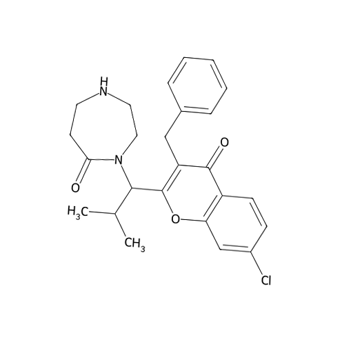 CC(C)C(c1oc2cc(Cl)ccc2c(=O)c1Cc1ccccc1)N1CCNCCC1=O